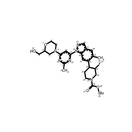 Cc1nc(N2CCOC(CO)C2)cc(-n2ncc3cc(C)c(C4CCN(C(=O)OC(C)(C)C)CC4F)cc32)n1